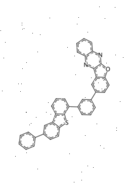 c1ccc(-c2ccc3sc4c(-c5cccc(-c6ccc7oc8nc9ccccc9nc8c7c6)c5)cccc4c3c2)cc1